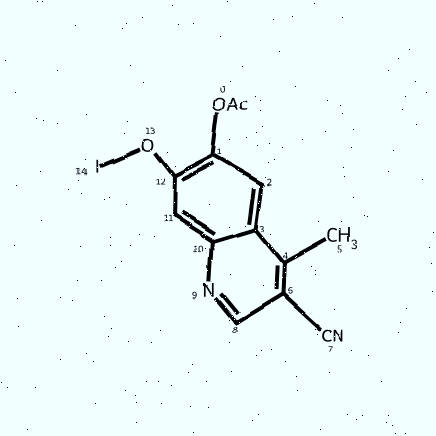 CC(=O)Oc1cc2c(C)c(C#N)cnc2cc1OI